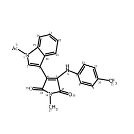 CC(=O)n1cc(C2=C(Nc3ccc(C(F)(F)F)cc3)C(=O)N(C)C2=O)c2ccccc21